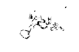 CCCC[N+]1(CCc2ccc(NS(C)(=O)=O)cc2)CCCCCC1.[Br-]